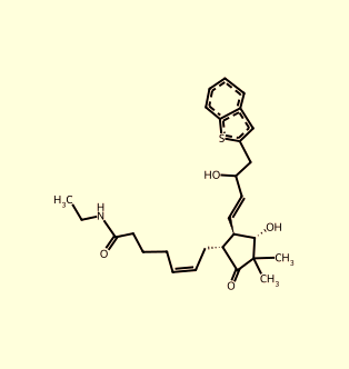 CCNC(=O)CCC/C=C\C[C@H]1C(=O)C(C)(C)[C@@H](O)[C@@H]1/C=C/C(O)Cc1cc2ccccc2s1